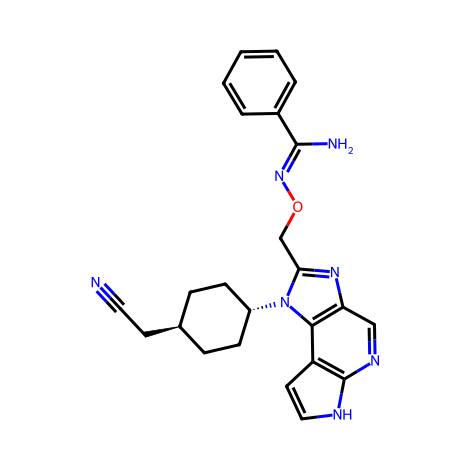 N#CC[C@H]1CC[C@H](n2c(CO/N=C(\N)c3ccccc3)nc3cnc4[nH]ccc4c32)CC1